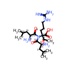 CC(=O)C(CCCNC(=N)N)(C(=O)O)N(C(=O)C(N)CC(C)C)C(=O)C(N)CC(C)C